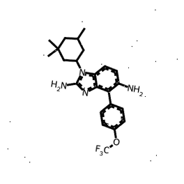 CC1CC(n2c(N)nc3c(-c4ccc(OC(F)(F)F)cc4)c(N)ccc32)CC(C)(C)C1